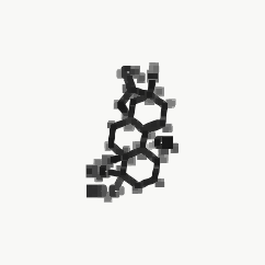 C=C1C[C@]23CC[C@H]4C(C)(C(=O)O)CCC[C@]4(C)C2=CC[C@@H]1C3